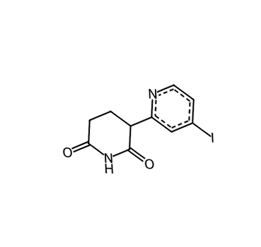 O=C1CCC(c2cc(I)ccn2)C(=O)N1